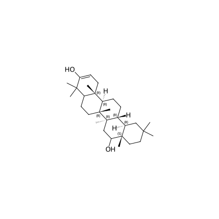 CC1(C)CC[C@]2(C)C(O)C[C@]3(C)[C@H](CC[C@@H]4[C@@]5(C)CC=C(O)C(C)(C)C5CC[C@]43C)[C@H]2C1